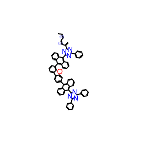 C=C(/C=C\C=C/C)c1nc(-c2ccccc2)nc(-c2c3ccccc3c(-c3cccc4c3oc3cc(-c5c6ccccc6c(-c6nc(-c7ccccc7)nc(-c7ccccc7)n6)c6ccccc56)ccc34)c3ccccc23)n1